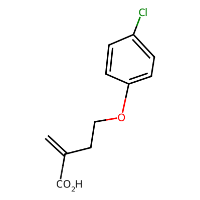 C=C(CCOc1ccc(Cl)cc1)C(=O)O